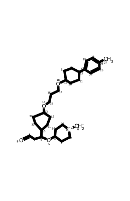 [CH2-][C+]1CCC(OC(CC=O)C2CCC(OCCCOC3CCC(c4ccc(C)cc4)CC3)CC2)CC1